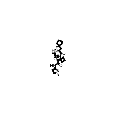 CC(=O)NC(CC1(F)CCCC1)C(=O)NC1(C(=O)C(=O)Nc2ccn(C)n2)CCC1